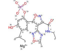 CCNC(=O)c1noc(-c2cc(C(C)C)c(O)cc2OP(=O)([O-])[O-])c1-c1noc(C)n1.[Mg+2]